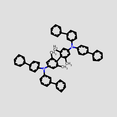 Cc1cc(N(c2ccc(-c3ccccc3)cc2)c2cccc(-c3ccccc3)c2)cc(C)c1-c1c(C)cc(N(c2ccc(-c3ccccc3)cc2)c2cccc(-c3ccccc3)c2)cc1C